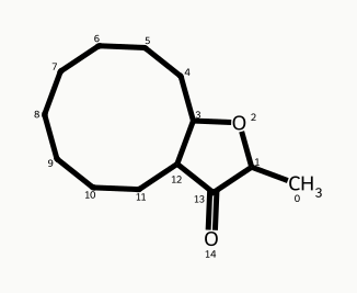 CC1OC2CCCCCCCCC2C1=O